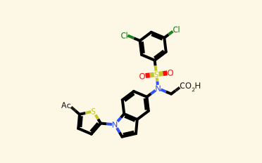 CC(=O)c1ccc(-n2ccc3cc(N(CC(=O)O)S(=O)(=O)c4cc(Cl)cc(Cl)c4)ccc32)s1